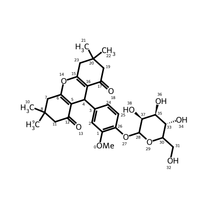 COc1cc(C2C3=C(CC(C)(C)CC3=O)OC3=C2C(=O)CC(C)(C)C3)ccc1OC1OC(CO)[C@@H](O)[C@H](O)[C@@H]1O